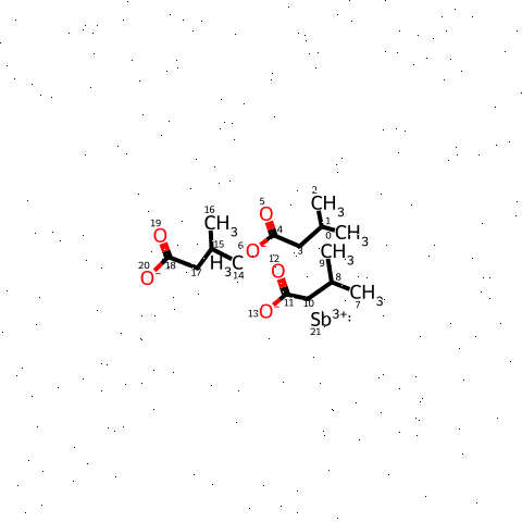 CC(C)CC(=O)[O-].CC(C)CC(=O)[O-].CC(C)CC(=O)[O-].[Sb+3]